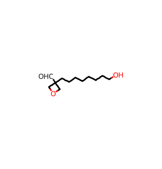 O=CC1(CCCCCCCCO)COC1